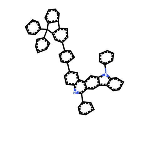 c1ccc(-c2nc3ccc(-c4ccc(-c5ccc6c(c5)C(c5ccccc5)(c5ccccc5)c5ccccc5-6)cc4)cc3c3cc4c(cc23)c2ccccc2n4-c2ccccc2)cc1